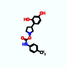 O=C(Nc1ccc(C(F)(F)F)cc1)ON1CCC(c2ccc(O)cc2O)C1